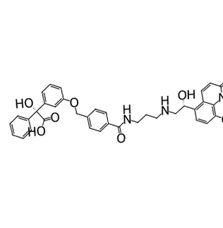 O=C(NCCCNC[C@H](O)c1ccc(O)c2[nH]c(=O)ccc12)c1ccc(COc2cccc([C@@](O)(C(=O)O)c3ccccc3)c2)cc1